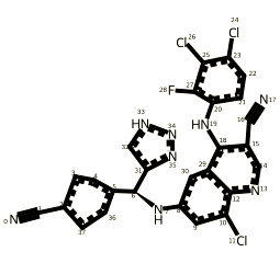 N#Cc1ccc([C@H](Nc2cc(Cl)c3ncc(C#N)c(Nc4ccc(Cl)c(Cl)c4F)c3c2)c2c[nH]nn2)cc1